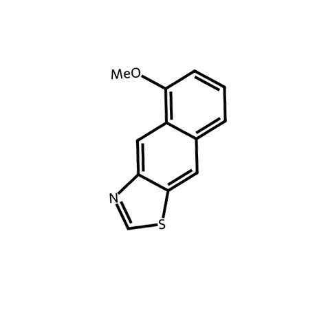 COc1cccc2cc3scnc3cc12